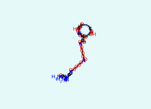 CO[C@H]1C[C@@H]2CC[C@@H](C)[C@@](O)(O2)C(=O)C(=O)N2CCCC[C@H]2C(=O)O[C@H]([C@H](C)C[C@@H]2CC[C@@H](OC(=O)N(C)CCOCCOCCOCCOCCC(=O)N(C)CCOCCOCCOCCOCCC(=O)N3CCc4cc(Cn5nc(-c6ccc7oc(N)nc7c6)c6c(N)ncnc65)ccc4C3)[C@H](OC)C2)C[C@@H](OC)[C@H](C)/C=C(\C)[C@@H](O)[C@@H](OC)C(=O)[C@H](C)C[C@H](C)/C=C/C=C/C=C/1C